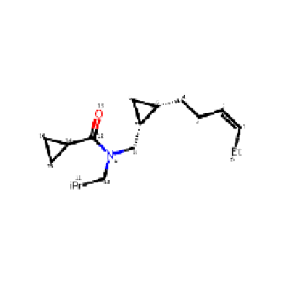 CC/C=C\CC[C@H]1C[C@H]1CN(CC(C)C)C(=O)C1CC1